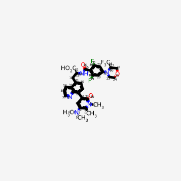 Cc1c(N(C)C)cc(-c2ccc(C[C@H](NC(=O)c3c(F)cc(N4CCOC[C@@H]4C(F)(F)F)cc3F)C(=O)O)c3cccnc23)c(=O)n1C